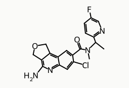 CC(c1ccc(F)cn1)N(C)C(=O)c1cc2c3c(c(N)nc2cc1Cl)COC3